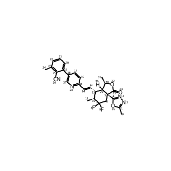 Cc1nnc([C@@]23CC(F)(F)[C@@H](C)[C@H](C=Cc4ccc(-c5cccc(C)c5C#N)cn4)[C@@H]2[C@@H](C)OC3=O)o1